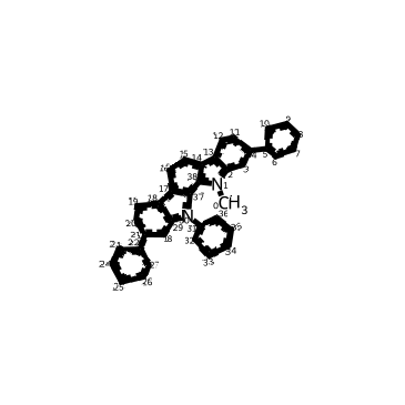 Cn1c2cc(-c3ccccc3)ccc2c2ccc3c4ccc(-c5ccccc5)cc4n(-c4ccccc4)c3c21